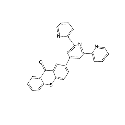 O=c1c2ccccc2sc2ccc(-c3cc(-c4ccccn4)nc(-c4ccccn4)c3)cc12